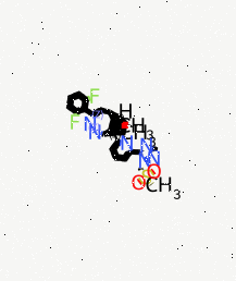 CC1(C)[C@H]2CC[C@]1(c1cccc(-c3ncnn3CS(C)(=O)=O)n1)C1C#CC2/C=C(c2c(F)cccc2F)\N=N/1